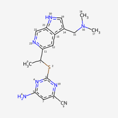 CC(Sc1nc(N)cc(C#N)n1)c1cc2c(CN(C)C)c[nH]c2cn1